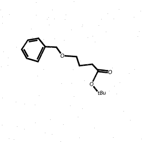 CC(C)(C)OC(=O)CCCOCc1ccccc1